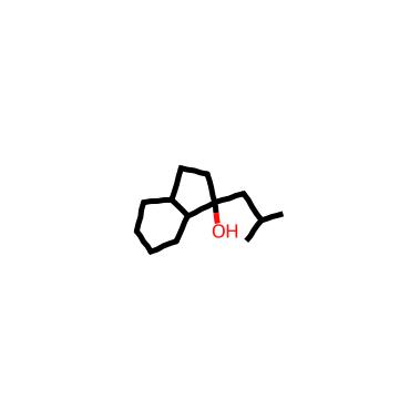 CC(C)CC1(O)CCC2CCCCC21